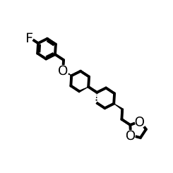 Fc1ccc(CO[C@H]2CC[C@H]([C@H]3CC[C@H](CCC4OCCO4)CC3)CC2)cc1